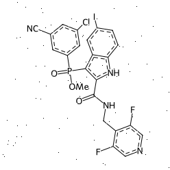 COP(=O)(c1cc(Cl)cc(C#N)c1)c1c(C(=O)NCc2c(F)cncc2F)[nH]c2ccc(I)cc12